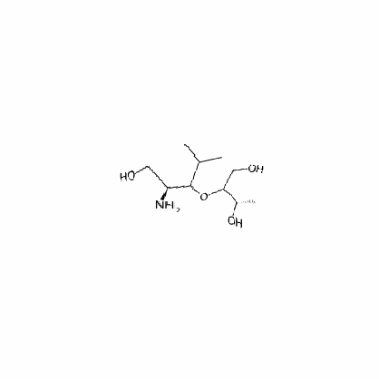 CC(C)C(OC(CO)[C@H](C)O)[C@@H](N)CO